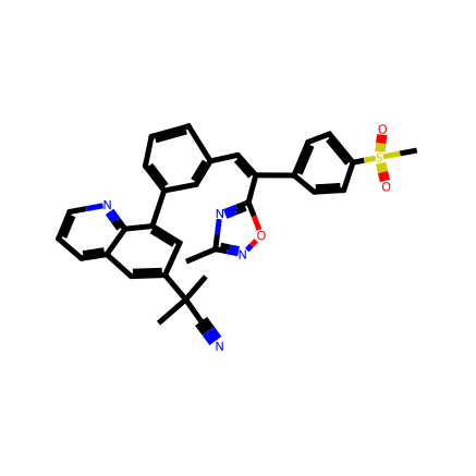 Cc1noc(C(=Cc2cccc(-c3cc(C(C)(C)C#N)cc4cccnc34)c2)c2ccc(S(C)(=O)=O)cc2)n1